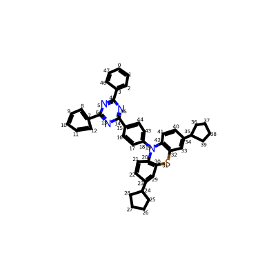 c1ccc(-c2nc(-c3ccccc3)nc(-c3ccc(N4c5ccc(C6CCCC6)cc5Sc5cc(C6CCCC6)ccc54)cc3)n2)cc1